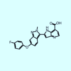 Cn1nc2cc(Oc3ccc(F)cc3)ccc2c1-c1cc2nccc(C(=O)O)c2[nH]1